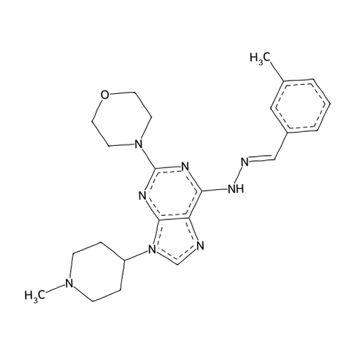 Cc1cccc(C=NNc2nc(N3CCOCC3)nc3c2ncn3C2CCN(C)CC2)c1